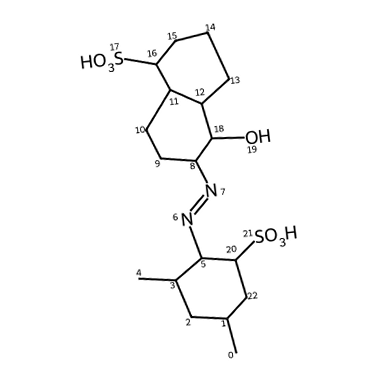 CC1CC(C)C(N=NC2CCC3C(CCCC3S(=O)(=O)O)C2O)C(S(=O)(=O)O)C1